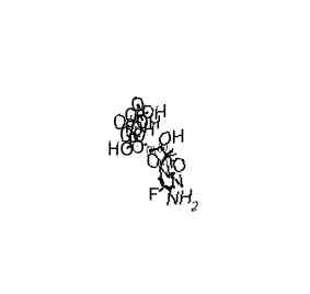 CC1(F)[C@@H](O)[C@@H](COP(=O)(O)OP(=O)(O)OP(=O)(O)O)O[C@H]1n1cc(F)c(N)nc1=O